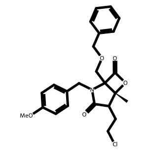 COc1ccc(CN2C(=O)C(CCCl)[C@@]3(C)OC(=O)C23COCc2ccccc2)cc1